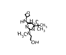 CN(CCO)c1nc(NC2COC2)cc(C(C)(C)C)n1